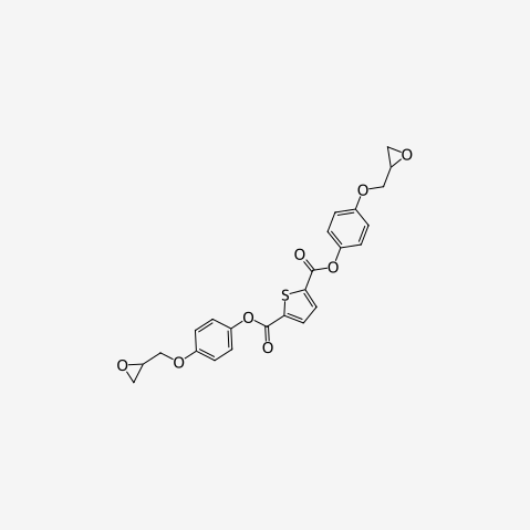 O=C(Oc1ccc(OCC2CO2)cc1)c1ccc(C(=O)Oc2ccc(OCC3CO3)cc2)s1